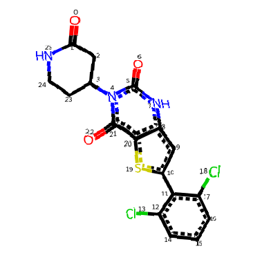 O=C1CC(n2c(=O)[nH]c3cc(-c4c(Cl)cccc4Cl)sc3c2=O)CCN1